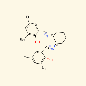 CCc1cc(/C=N/[C@@H]2CCCC[C@H]2/N=C/c2cc(CC)cc(C(C)(C)C)c2O)c(O)c(C(C)(C)C)c1